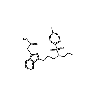 CCCN(CCCn1cc(CC(=O)O)c2ccccc21)S(=O)(=O)c1ccc(F)cc1